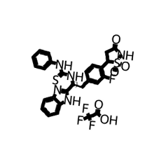 O=C(O)C(F)(F)F.O=C1CC(c2ccc(C[C@H](NC(=S)Nc3ccccc3)c3nc4ccccc4[nH]3)cc2F)S(=O)(=O)N1